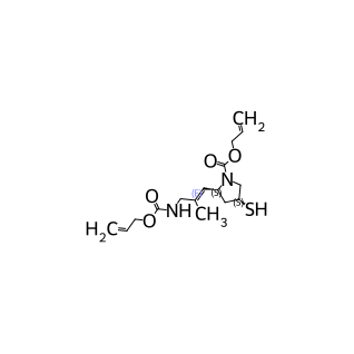 C=CCOC(=O)NC/C(C)=C/[C@@H]1C[C@H](S)CN1C(=O)OCC=C